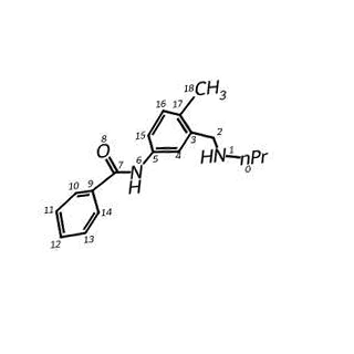 CCCNCc1cc(NC(=O)c2ccccc2)ccc1C